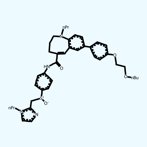 CCCCOCCOc1ccc(-c2ccc3c(c2)C=C(C(=O)Nc2ccc([S+]([O-])Cc4nccn4CCC)cc2)CCCN3CCC)cc1